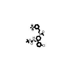 CC(=O)N(CCc1cccc(S(C)(=O)=O)c1)[C@H]1CC[C@@](CNC(=O)OC(C)(C)C)(c2cccc(Cl)c2)CC1